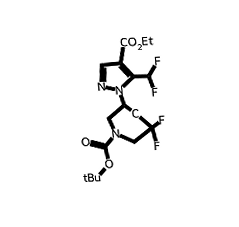 CCOC(=O)c1cnn(C2CN(C(=O)OC(C)(C)C)CC(F)(F)C2)c1C(F)F